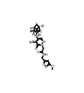 COc1cc(CNC(=O)Cn2ncc(N[C@@H]3C[C@@H]4C[C@H]([C@H]3C)C4(C)C)c(Br)c2=O)on1